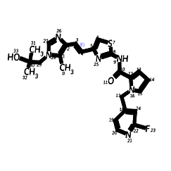 Cc1c(/C=C/c2csc(NC(=O)c3cccn3Cc3ccnc(F)c3)n2)ncn1CC(C)(C)O